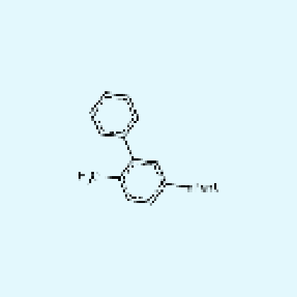 CCCCCc1ccc(C)c(-c2ccccc2)c1